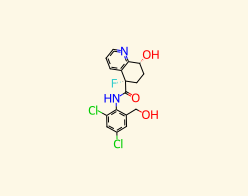 O=C(Nc1c(Cl)cc(Cl)cc1CO)[C@]1(F)CC[C@@H](O)c2ncccc21